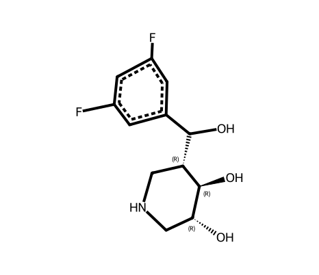 OC(c1cc(F)cc(F)c1)[C@H]1CNC[C@@H](O)[C@@H]1O